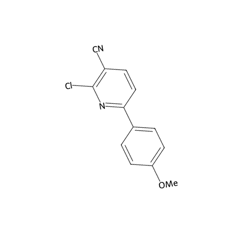 COc1ccc(-c2ccc(C#N)c(Cl)n2)cc1